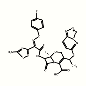 CC(Sc1ccc2nnnn2n1)C1=C(C(=O)O)N2C(=O)C(NC(=O)/C(=N\Oc3ccc(F)cc3)c3nsc(N)n3)[C@H]2SC1